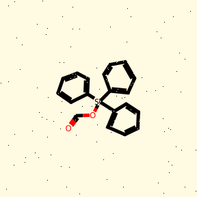 O=[C]O[Si](c1ccccc1)(c1ccccc1)c1ccccc1